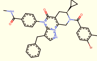 CNC(=O)c1ccc(-n2c(=O)c3c(n4ncc(Cc5ccccc5)c24)CN(C(=O)c2ccc(Br)c(C)c2)[C@H](C2CC2)C3)cc1